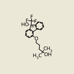 CC(C)(O)CCCOc1cccc2c1-c1ccccc1[C@]2(O)C(F)(F)F